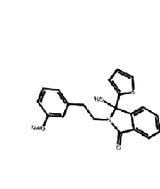 COc1cccc(CCN2C(=O)c3ccccc3C2(O)c2cccs2)c1